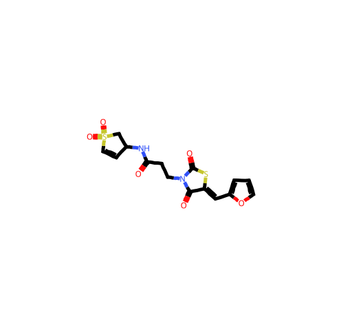 O=C(CCN1C(=O)SC(=Cc2ccco2)C1=O)NC1C=CS(=O)(=O)C1